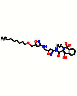 CCCCCCCCOCc1cc(NCc2cc(NC(=O)C3=C(O)c4ccccc4S(=O)(=O)N3C)no2)no1